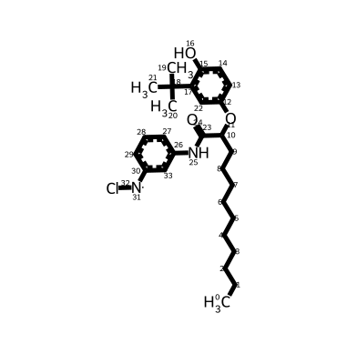 CCCCCCCCCCC(Oc1ccc(O)c(C(C)(C)C)c1)C(=O)Nc1cccc([N]Cl)c1